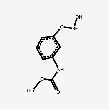 CC(C)(C)OC(=O)Nc1cccc(OBO)c1